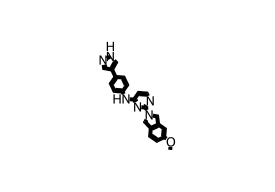 COc1ccc2c(c1)CN(c1nccc(Nc3ccc(-c4cn[nH]c4)cc3)n1)C2